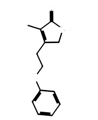 CC1=C(CCSc2ccccc2)CNC1=O